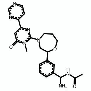 CC(=O)NC(N)c1cccc([C@H]2CN(c3nc(-c4ccncn4)cc(=O)n3C)CCCO2)c1